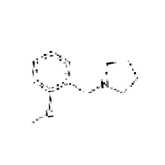 COc1ccccc1CN1C[CH]CC1